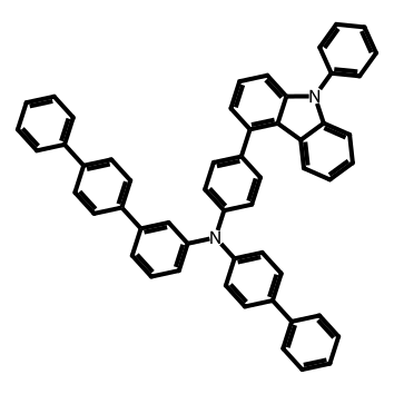 c1ccc(-c2ccc(-c3cccc(N(c4ccc(-c5ccccc5)cc4)c4ccc(-c5cccc6c5c5ccccc5n6-c5ccccc5)cc4)c3)cc2)cc1